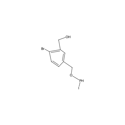 OCc1cc(COPI)ccc1Br